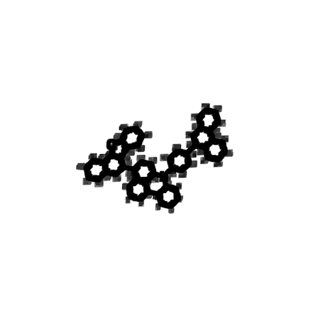 c1ccc(-c2ccccc2N(c2ccc(-c3cc4ccccc4c4ccccc34)cc2)c2ccc(-c3cc4ccccc4c4oc5ccccc5c34)cc2)cc1